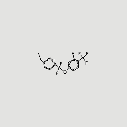 CCc1ccc(C(F)(F)Oc2ccc(C(F)(F)F)c(F)c2)cc1